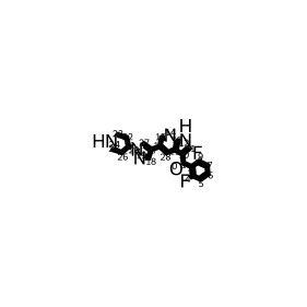 O=C(c1c(F)cccc1F)c1c[nH]c2ncc(-c3cnn(C4CCNCC4)c3)cc12